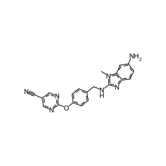 Cn1c(NCc2ccc(Oc3ncc(C#N)cn3)cc2)nc2ccc(N)cc21